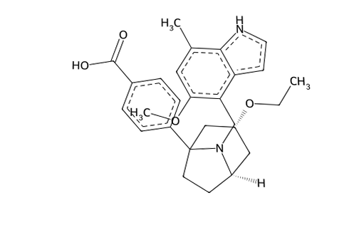 CCO[C@@H]1C[C@H]2CCC(c3ccc(C(=O)O)cc3)(C1)N2Cc1c(OC)cc(C)c2[nH]ccc12